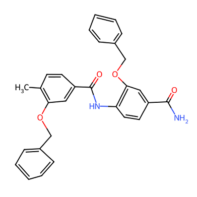 Cc1ccc(C(=O)Nc2ccc(C(N)=O)cc2OCc2ccccc2)cc1OCc1ccccc1